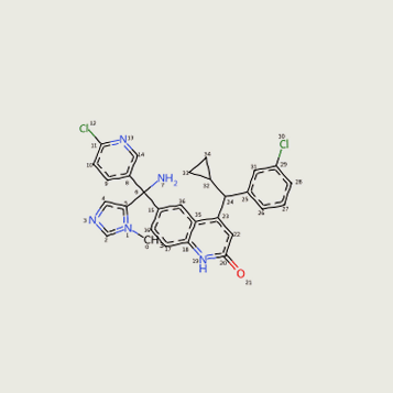 Cn1cncc1C(N)(c1ccc(Cl)nc1)c1ccc2[nH]c(=O)cc(C(c3cccc(Cl)c3)C3CC3)c2c1